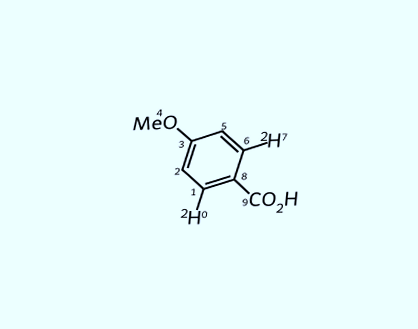 [2H]c1cc(OC)cc([2H])c1C(=O)O